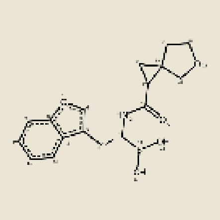 O=C(N[C@@H](Cc1coc2ccccc12)B(O)O)C1CC12CCOC2